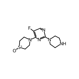 [O-][S+]1CCN(c2nc(N3CCNCC3)ncc2F)CC1